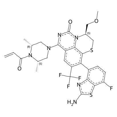 C=CC(=O)N1[C@H](C)CN(c2nc(=O)n3c4c(c(-c5ccc(F)c6sc(N)nc56)c(C(F)(F)F)cc24)SC[C@@H]3COC)C[C@@H]1C